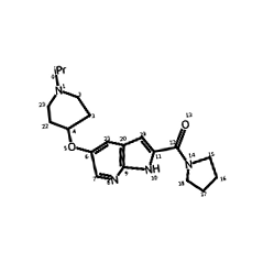 CC(C)N1CCC(Oc2cnc3[nH]c(C(=O)N4CCCC4)cc3c2)CC1